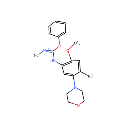 N#C/N=C(\Nc1cc(N2CCOCC2)c(N=O)cc1OC(F)(F)F)Oc1ccccc1